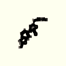 CC(=O)NC[C@H]1CN(c2ccc3nc(C)oc3c2)C(=O)O1